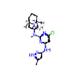 Cc1cc(Nc2cc(Cl)nc(N(C)C3C[C@H]4CCC[C@@H](C3)N4C(=O)O)n2)n[nH]1